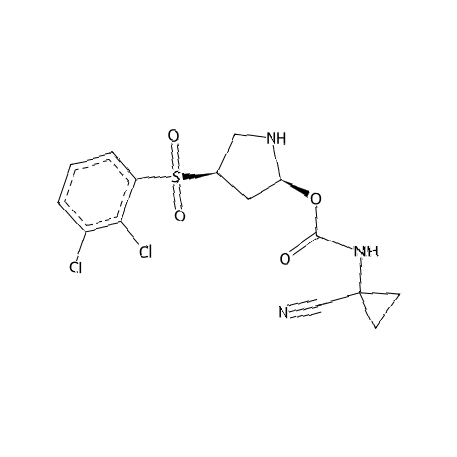 N#CC1(NC(=O)O[C@H]2C[C@@H](S(=O)(=O)c3cccc(Cl)c3Cl)CN2)CC1